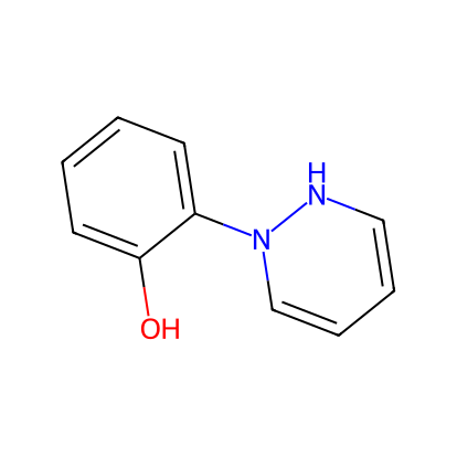 Oc1ccccc1N1C=CC=CN1